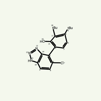 CC(C)(C)c1ccc(-c2c(Cl)ccc3[nH]nnc23)c(O)c1C(C)(C)C